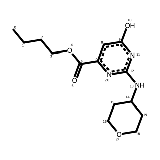 CCCCOC(=O)c1cc(O)nc(NC2CCOCC2)n1